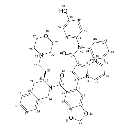 O=C(c1cc(-c2cc3c(cc2C(=O)N2Cc4ccccc4C[C@H]2CCN2CCOCC2)OCO3)n2cccnc12)N(c1ccccc1)c1ccc(O)cc1